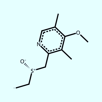 [CH2]C[S@+]([O-])Cc1ncc(C)c(OC)c1C